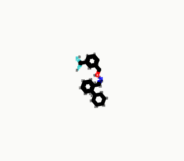 FC(F)c1cccc(CO/N=[C]\c2ccccc2C2CCCCC2)c1